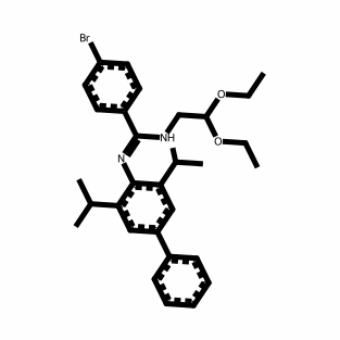 CCOC(CNC(=Nc1c(C(C)C)cc(-c2ccccc2)cc1C(C)C)c1ccc(Br)cc1)OCC